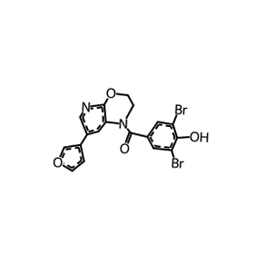 O=C(c1cc(Br)c(O)c(Br)c1)N1CCOc2ncc(-c3ccoc3)cc21